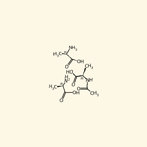 CC(=O)N[C@H](C)C(=O)O.C[C@@H](N)C(=O)O.C[C@@H](N)C(=O)O